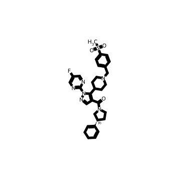 CS(=O)(=O)c1ccc(CN2CCC(c3c(C(=O)N4CC[C@H](C5=CCCC=C5)C4)cnn3-c3ncc(F)cn3)CC2)cc1